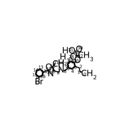 C=CCc1cc(CNCc2nc(-c3cccc(Br)c3)oc2C)ccc1OC(C)(C)C(=O)O